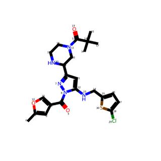 Cc1cc(C(=O)n2nc(C3CN(C(=O)C(C)(C)C)CCN3)cc2NCc2ccc(Cl)s2)co1